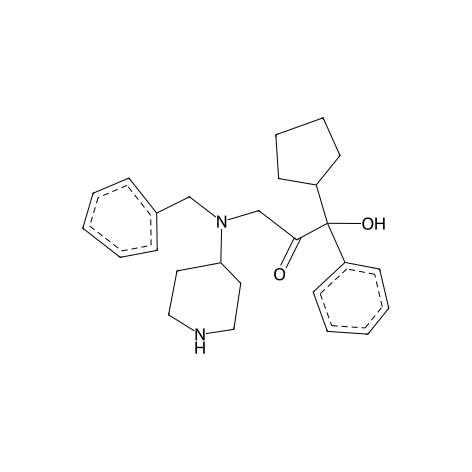 O=C(CN(Cc1ccccc1)C1CCNCC1)C(O)(c1ccccc1)C1CCCC1